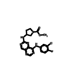 COC(=O)N1CCC(Nc2ncc3ncnc(Nc4ccc(F)c(Cl)c4)c3n2)C1